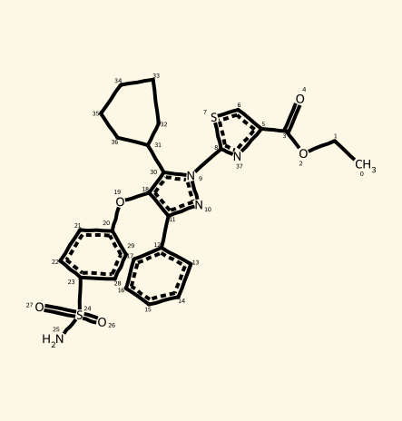 CCOC(=O)c1csc(-n2nc(-c3ccccc3)c(Oc3ccc(S(N)(=O)=O)cc3)c2C2CCCCC2)n1